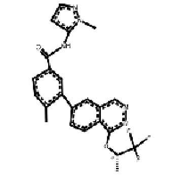 Cc1ccc(C(=O)Nc2ccnn2C)cc1-c1ccc2c(O[C@@H](C)C(F)(F)F)nncc2c1